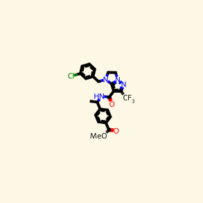 COC(=O)c1ccc(C(C)NC(=O)c2c(C(F)(F)F)nn3c2N(Cc2cccc(Cl)c2)CC3)cc1